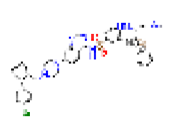 CN(C)CC[C@H](CSc1ccccc1)Nc1ccc(S(=O)(=O)Nc2ncnc3cc(N4CCN(Cc5ccccc5-c5ccc(Br)cc5)CC4)ccc23)cc1[N+](=O)[O-]